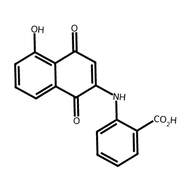 O=C(O)c1ccccc1NC1=CC(=O)c2c(O)cccc2C1=O